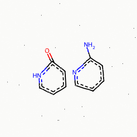 Nc1ccccn1.O=c1cccc[nH]1